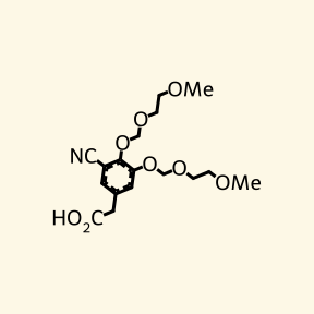 COCCOCOc1cc(CC(=O)O)cc(C#N)c1OCOCCOC